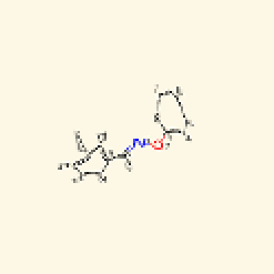 [C](=NOC1=CCCCC1)c1ccccc1